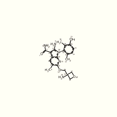 Cc1cc2c(C(N)=O)c(N)n(-c3c(C)ccc(O)c3C)c2nc1OCC1(N)COC1